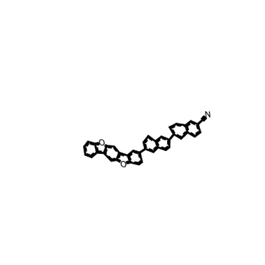 N#Cc1ccc2cc(-c3ccc4cc(-c5ccc6oc7cc8c(cc7c6c5)oc5ccccc58)ccc4c3)ccc2c1